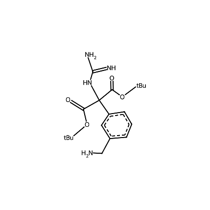 CC(C)(C)OC(=O)C(NC(=N)N)(C(=O)OC(C)(C)C)c1cccc(CN)c1